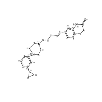 O=C1CCc2ccc(/C=C/CCCN3CCN(c4cccc(C5CC5)n4)CC3)nc2N1